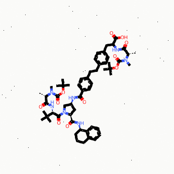 C[C@@H](C(=O)NC(Cc1ccc(CCc2ccc(C(=O)N[C@H]3C[C@@H](C(=O)N[C@@H]4CCCc5ccccc54)N(C(=O)[C@@H](NC(=O)[C@H](C)N(C)C(=O)OC(C)(C)C)C(C)(C)C)C3)cc2)cc1)C(=O)O)N(C)C(=O)OC(C)(C)C